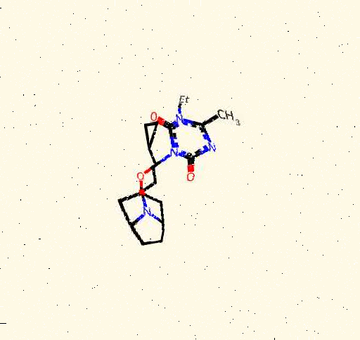 CCn1c(C)nc(=O)n(CCCN2C3CCC2CC(OCC2CC2)C3)c1=O